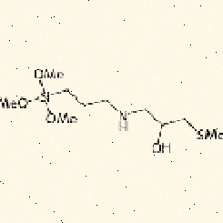 CO[Si](CCCNCC(O)CSC)(OC)OC